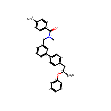 COc1ccc(C(=O)N(C)Cc2cccc(-c3ccc(C[C@H](Oc4ccccc4)C(=O)O)cc3)c2)cc1